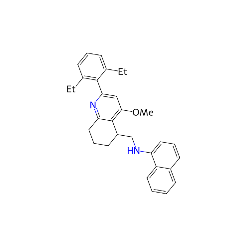 CCc1cccc(CC)c1-c1cc(OC)c2c(n1)CCCC2CNc1cccc2ccccc12